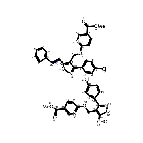 COC(=O)c1ccc(OCc2c(-c3ccc(Cl)cc3)noc2/C=C/c2ccccc2)nc1.COC(=O)c1ccc(OCc2c(-c3ccc(Cl)cc3)noc2C=O)nc1